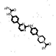 CCCC(=O)Nc1ccc(-c2ccnc(Nc3ccc(N4CCN(C(=O)C(C)C)CC4)cc3)n2)cc1